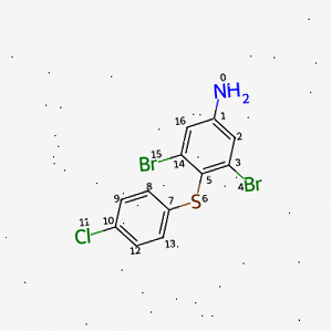 Nc1cc(Br)c(Sc2ccc(Cl)cc2)c(Br)c1